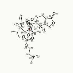 CC(C)[C@]12O[C@H]1[C@@H]1O[C@]13[C@]1(O[C@H]1C[C@H]1C4=C(CC[C@@]13C)C(=O)OC4)[C@@H]2OC(=O)OCCN(C)C